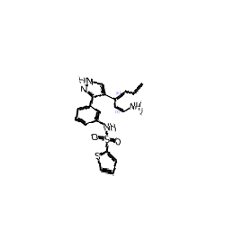 C=C/C=C(\C=C/N)c1c[nH]nc1-c1cccc(NS(=O)(=O)c2cccs2)c1